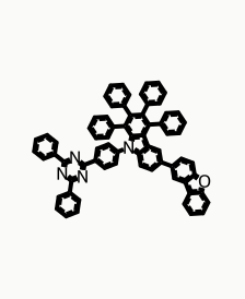 c1ccc(-c2nc(-c3ccccc3)nc(-c3ccc(-n4c5ccc(-c6ccc7oc8ccccc8c7c6)cc5c5c(-c6ccccc6)c(-c6ccccc6)c(-c6ccccc6)c(-c6ccccc6)c54)cc3)n2)cc1